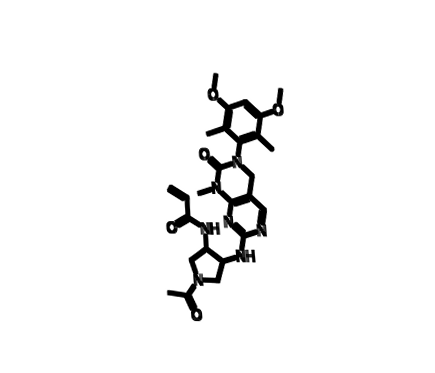 C=CC(=O)NC1CN(C(C)=O)CC1Nc1ncc2c(n1)N(C)C(=O)N(c1c(C)c(OC)cc(OC)c1C)C2